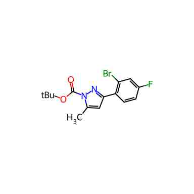 Cc1cc(-c2ccc(F)cc2Br)nn1C(=O)OC(C)(C)C